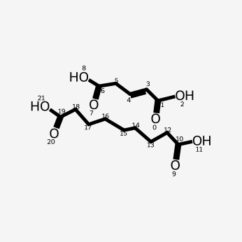 O=C(O)C=CCC(=O)O.O=C(O)CCCCCCCC(=O)O